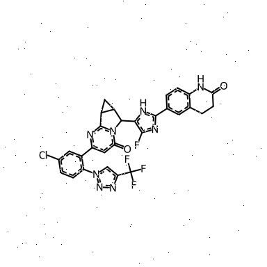 O=C1CCc2cc(-c3nc(F)c(C4C5CC5c5nc(-c6cc(Cl)ccc6-n6cc(C(F)(F)F)nn6)cc(=O)n54)[nH]3)ccc2N1